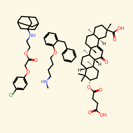 CC1(C)[C@@H](OC(=O)CCC(=O)O)CC[C@]2(C)[C@H]3C(=O)C=C4[C@@H]5C[C@@](C)(C(=O)O)CC[C@]5(C)CC[C@@]4(C)[C@]3(C)CC[C@@H]12.CNCCCCOc1ccccc1Cc1ccccc1.O=C(COc1ccc(Cl)cc1)OCCNC12CC3CC(CC(C3)C1)C2